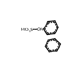 O=S(=O)(O)O.c1ccccc1.c1ccccc1